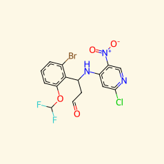 O=CCC(Nc1cc(Cl)ncc1[N+](=O)[O-])c1c(Br)cccc1OC(F)F